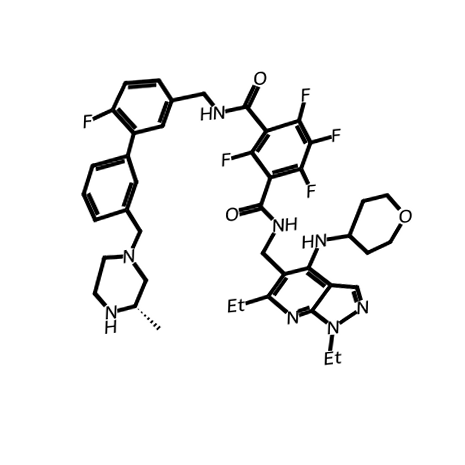 CCc1nc2c(cnn2CC)c(NC2CCOCC2)c1CNC(=O)c1c(F)c(F)c(F)c(C(=O)NCc2ccc(F)c(-c3cccc(CN4CCN[C@@H](C)C4)c3)c2)c1F